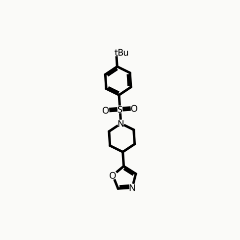 CC(C)(C)c1ccc(S(=O)(=O)N2CCC(c3cnco3)CC2)cc1